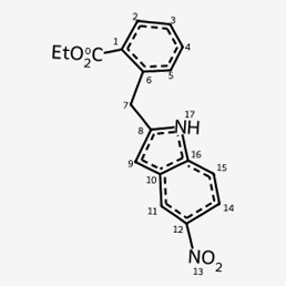 CCOC(=O)c1ccccc1Cc1cc2cc([N+](=O)[O-])ccc2[nH]1